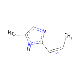 C/C=C\c1ncc(C#N)[nH]1